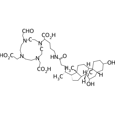 C[C@H](CCC(=O)NCCCC(C(=O)O)N1CCN(CC=O)CCN(CC(=O)O)CCN(CC(=O)O)CC1)[C@H]1CCC2[C@H]3C(O)C[C@H]4CC(O)CC[C@@]4(C)[C@@H]3CC[C@]21C